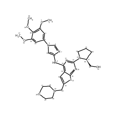 COc1cc(-n2cnc(Nc3nc(N4CCC[C@H]4CO)nc4sc(CN5CCOCC5)cc34)c2)cc(OC)c1OC